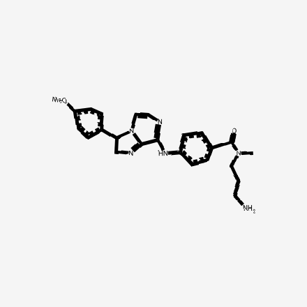 COc1ccc(C2CN=C3C(Nc4ccc(C(=O)N(C)CCCN)cc4)=NC=CN32)cc1